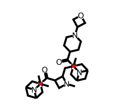 CC(C)N1C2CC1CN(C(=O)C1CN(C)C1CC(C)N1C3CC1CN(C(=O)C1CCN(C4COC4)CC1)C3)C2